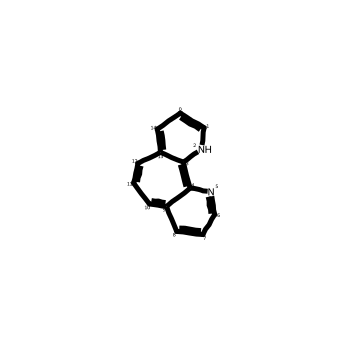 C1=CNC2=c3ncccc3=CC=CC2=C1